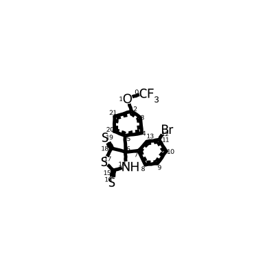 FC(F)(F)Oc1ccc(C2(c3cccc(Br)c3)NC(=S)SC2=S)cc1